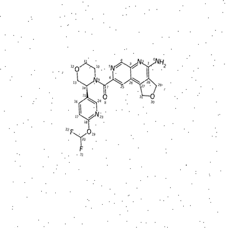 Nc1nc2cnc(C(=O)N3CCOC[C@@H]3c3ccc(OC(F)F)nc3)cc2c2c1COC2